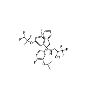 CC(C)Oc1cc([C@@](Cc2ccccc2)(NCC(O)C(F)(F)F)c2cc(F)cc(OC(F)(F)C(F)F)c2)ccc1F